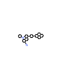 N#Cc1ccc2c3c1ccc1c(-c4ccc(-c5cc6ccc7cccc8ccc(c5)c6c78)cc4)ccc(c13)n2-c1ccccc1